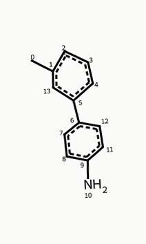 Cc1[c]ccc(-c2ccc(N)cc2)c1